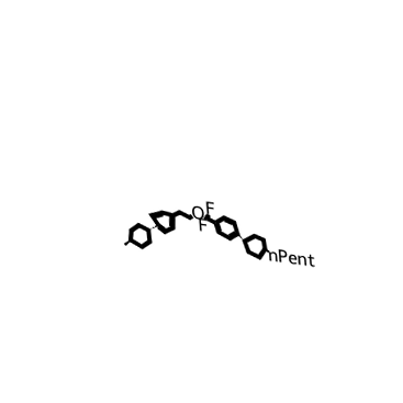 CCCCC[C@H]1CC[C@H](c2ccc(C(F)(F)OCCc3ccc([C@H]4CC[C@H](C)CC4)cc3)cc2)CC1